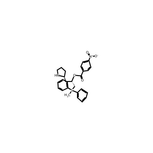 CS(C[C@H](C[C@@H]1CCCN1)OC(=O)c1ccc([N+](=O)[O-])cc1)(c1ccccc1)c1ccccc1